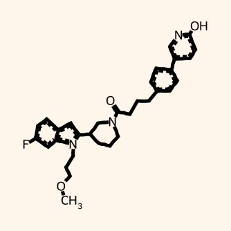 COCCCn1c(C2CCCN(C(=O)CCCc3ccc(-c4ccc(O)nc4)cc3)C2)cc2ccc(F)cc21